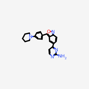 Nc1nccc(-c2ccc3noc(-c4ccc(N5CCCCC5)cc4)c3c2)n1